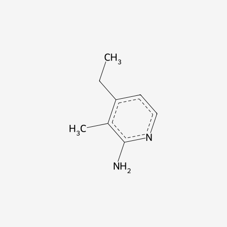 CCc1ccnc(N)c1C